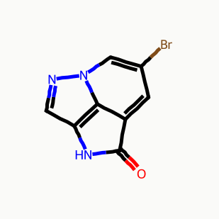 O=c1[nH]c2cnn3cc(Br)cc1c23